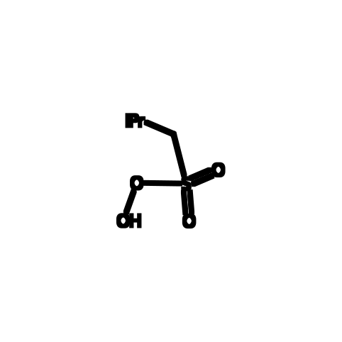 CC(C)CS(=O)(=O)OO